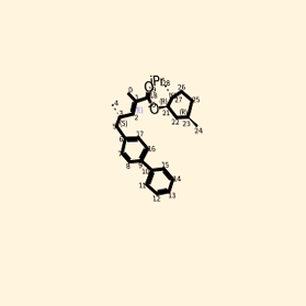 C/C(=C\[C@@H](C)Cc1ccc(-c2ccccc2)cc1)C(=O)O[C@@H]1C[C@H](C)CC[C@H]1C(C)C